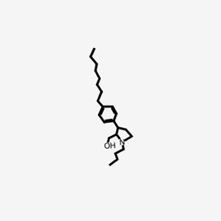 CCCCCCCCc1ccc(C2CCN(CCCC)C2CO)cc1